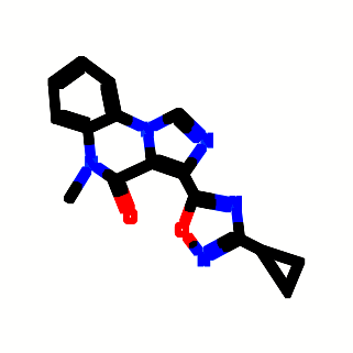 Cn1c(=O)c2c(-c3nc(C4CC4)no3)ncn2c2ccccc21